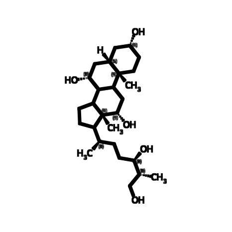 C[C@H](CC[C@@H](O)[C@H](C)CO)C1CCC2C3C(C[C@H](O)[C@@]21C)[C@@]1(C)CC[C@@H](O)C[C@H]1C[C@H]3O